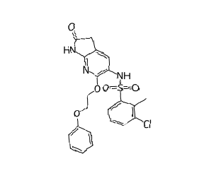 Cc1c(Cl)cccc1S(=O)(=O)Nc1cc2c(nc1OCCOc1ccccc1)NC(=O)C2